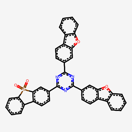 O=S1(=O)c2ccccc2-c2ccc(-c3nc(-c4ccc5c(c4)oc4ccccc45)nc(-c4ccc5c(c4)oc4ccccc45)n3)cc21